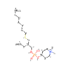 CCCCCCCCCCCCCCCCSCC(COC)COP(=O)(O)OC1CC[N+](C)(C)CC1